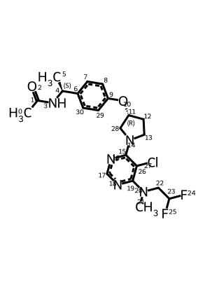 CC(=O)N[C@@H](C)c1ccc(O[C@@H]2CCN(c3ncnc(N(C)CC(F)F)c3Cl)C2)cc1